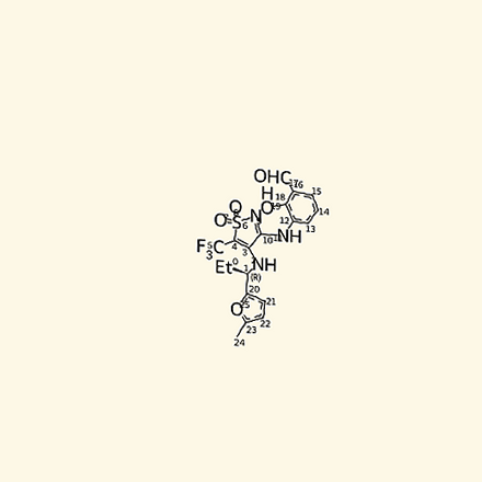 CC[C@@H](NC1=C(C(F)(F)F)S(=O)(=O)N=C1Nc1cccc(C=O)c1O)c1ccc(C)o1